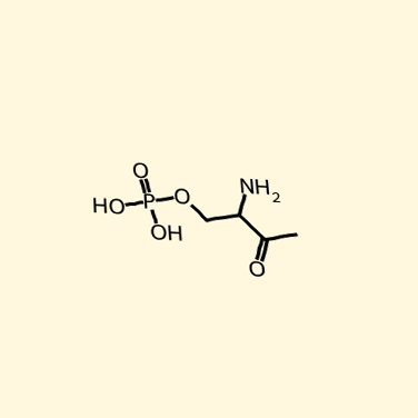 CC(=O)C(N)COP(=O)(O)O